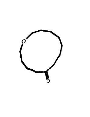 O=C1CCCCCCCOCCCC1